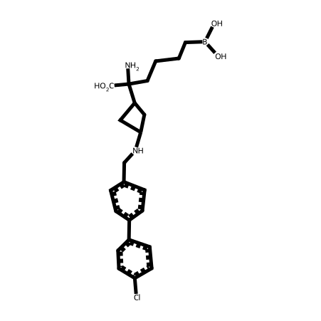 NC(CCCCB(O)O)(C(=O)O)C1CC(NCc2ccc(-c3ccc(Cl)cc3)cc2)C1